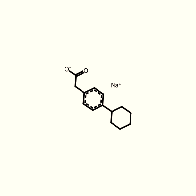 O=C([O-])Cc1ccc(C2CCCCC2)cc1.[Na+]